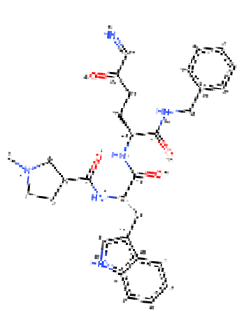 CN1CCC(C(=O)N[C@@H](Cc2c[nH]c3ccccc23)C(=O)N[C@@H](CCC(=O)C=N)C(=O)NCc2ccccc2)C1